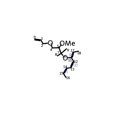 C=CCOCC(OC)C(C)(C)OC(/C=C\C=C/C)=C/C